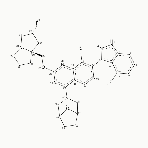 Fc1c(-c2n[nH]c3cccc(F)c23)ncc2c(N3CC4CCC(C3)O4)nc(OC[C@@]34CCCN3C[C@H](F)C4)nc12